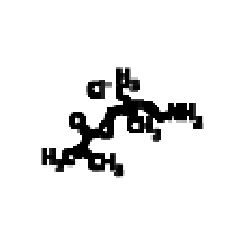 C=C(C)C(=O)OC[N+](C)(C)CCN.[Cl-]